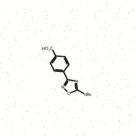 CCCCc1nc(-c2ccc(C(=O)O)cc2)no1